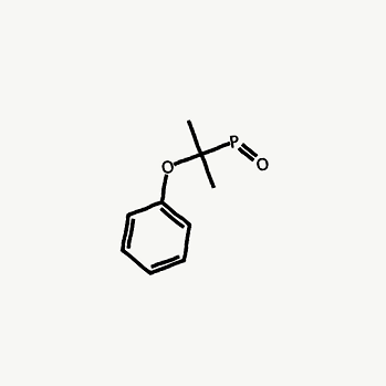 CC(C)(Oc1ccccc1)P=O